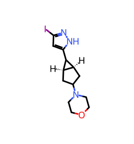 Ic1cc(C2[C@H]3CC(N4CCOCC4)C[C@@H]23)[nH]n1